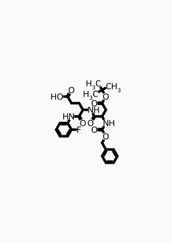 CC(C)(C)OC(=O)CC(NC(=O)OCc1ccccc1)C(=O)NC(CCC(=O)O)C(=O)Nc1ccccc1F